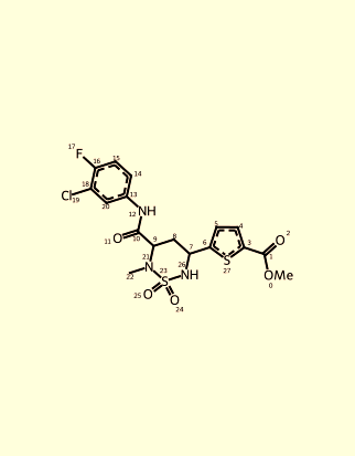 COC(=O)c1ccc(C2CC(C(=O)Nc3ccc(F)c(Cl)c3)N(C)S(=O)(=O)N2)s1